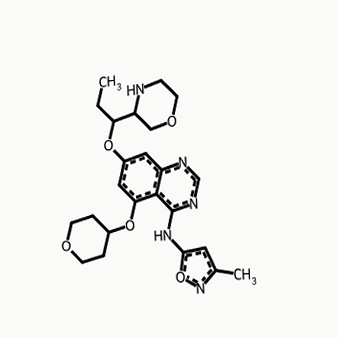 CCC(Oc1cc(OC2CCOCC2)c2c(Nc3cc(C)no3)ncnc2c1)C1COCCN1